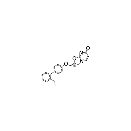 CCc1ccccc1-c1ccc(OC[C@@H]2Cn3ccc(=O)nc3O2)cc1